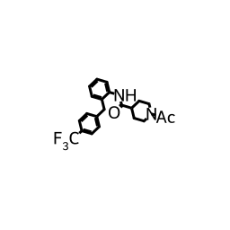 CC(=O)N1CCC(C(=O)Nc2ccccc2Cc2ccc(C(F)(F)F)cc2)CC1